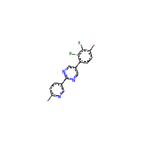 Cc1ccc(-c2ncc(-c3ccc(C)c(F)c3F)cn2)cn1